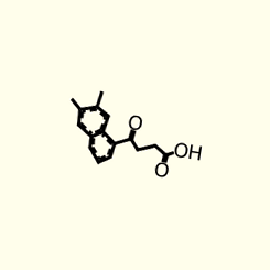 Cc1cc2cccc(C(=O)CCC(=O)O)c2cc1C